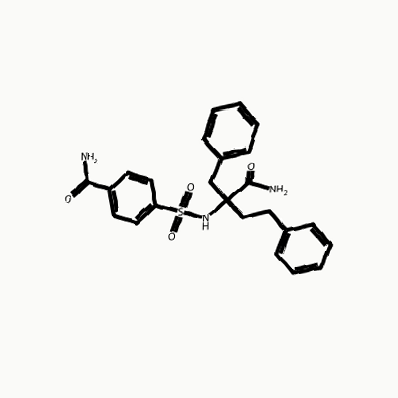 NC(=O)c1ccc(S(=O)(=O)NC(CCc2ccccc2)(Cc2ccccc2)C(N)=O)cc1